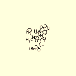 Cc1c(N(NC(C)(C)C(=O)N(C)CCc2ccccn2)C(=O)CCCNC(=O)OC(C)(C)C)ccc2ncoc(=O)c12